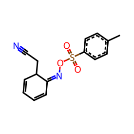 Cc1ccc(S(=O)(=O)O/N=C2/C=CC=CC2CC#N)cc1